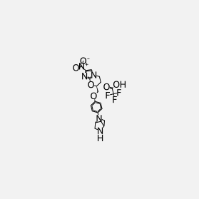 O=C(O)C(F)(F)F.O=[N+]([O-])c1cn2c(n1)O[C@H](COc1ccc(N3CC4CC3CN4)cc1)CC2